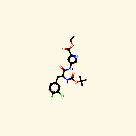 CCOC(=O)c1cc(NC(=O)C(Cc2ccc(Cl)c(Cl)c2)NC(=O)OC(C)(C)C)c[nH]1